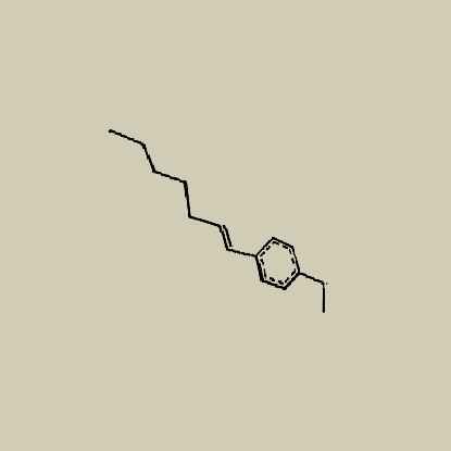 C[CH]c1ccc(/C=C/CCCCC)cc1